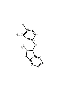 NC1Cc2ccccc2C1Cc1ccc(Cl)c(Cl)c1